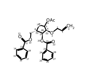 C=CCO[C@@H]1C(OC(C)=O)S[C@@H](COC(=O)c2ccccc2)[C@@H]1OC(=O)c1ccccc1